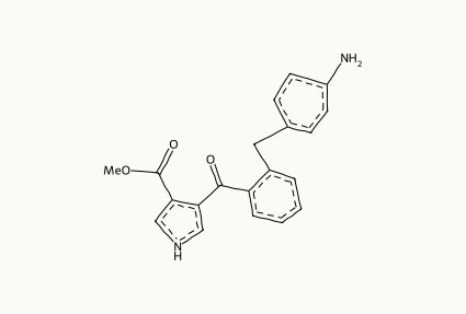 COC(=O)c1c[nH]cc1C(=O)c1ccccc1Cc1ccc(N)cc1